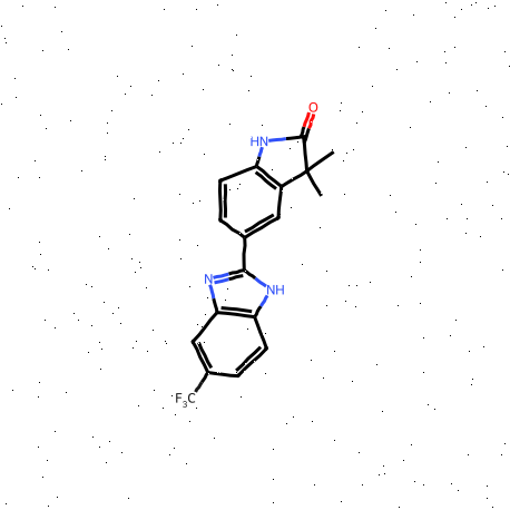 CC1(C)C(=O)Nc2ccc(-c3nc4cc(C(F)(F)F)ccc4[nH]3)cc21